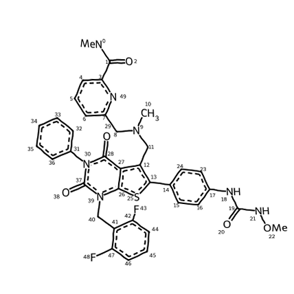 CNC(=O)c1cccc(CN(C)Cc2c(-c3ccc(NC(=O)NOC)cc3)sc3c2c(=O)n(-c2ccccc2)c(=O)n3Cc2c(F)cccc2F)n1